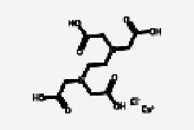 O=C(O)CN(CCN(CC(=O)O)CC(=O)O)CC(=O)O.[Cl-].[Cs+]